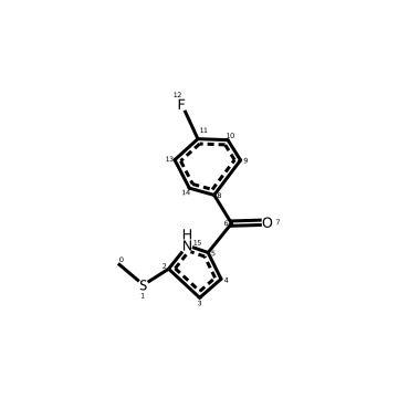 CSc1ccc(C(=O)c2ccc(F)cc2)[nH]1